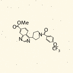 COC(=O)c1ccc2c(C3CCN(C(=O)c4ccc(OC(F)(F)F)cc4)CC3)ncnc2c1